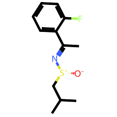 C/C(=N\[S@+]([O-])CC(C)C)c1ccccc1F